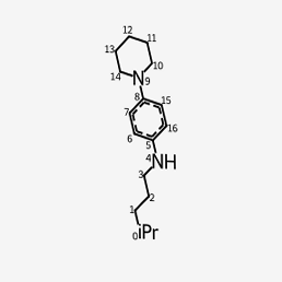 CC(C)CCCNc1ccc(N2CCCCC2)cc1